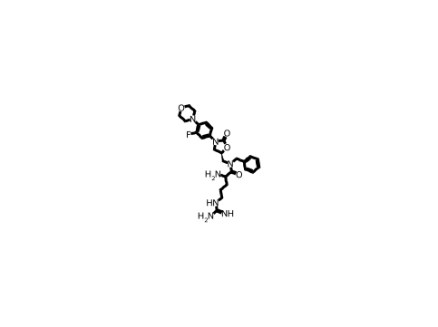 N=C(N)NCCCC(N)C(=O)N(Cc1ccccc1)C[C@H]1CN(c2ccc(N3CCOCC3)c(F)c2)C(=O)O1